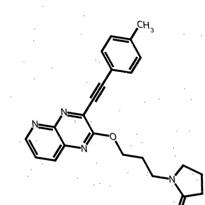 Cc1ccc(C#Cc2nc3ncccc3nc2OCCCN2CCCC2=O)cc1